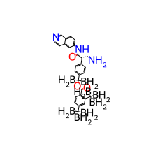 BC(B)(B)c1ccc(C(=O)OC(B)(B)c2ccc([C@@H](CN)C(=O)Nc3ccc4cnccc4c3)cc2)c(C(B)(B)B)c1